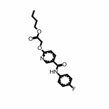 CCCCOC(=O)COc1ccc(C(=O)Nc2ccc(F)cc2)cn1